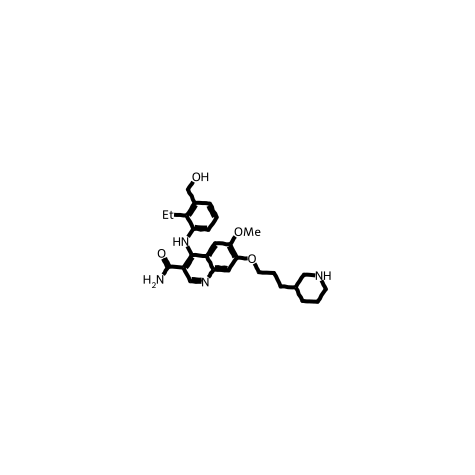 CCc1c(CO)cccc1Nc1c(C(N)=O)cnc2cc(OCCCC3CCCNC3)c(OC)cc12